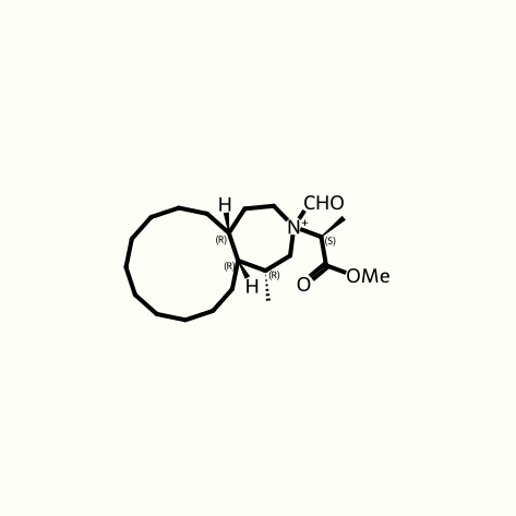 COC(=O)[C@H](C)[N+]1(C=O)CC[C@H]2CCCCCCCCCC[C@H]2[C@@H](C)C1